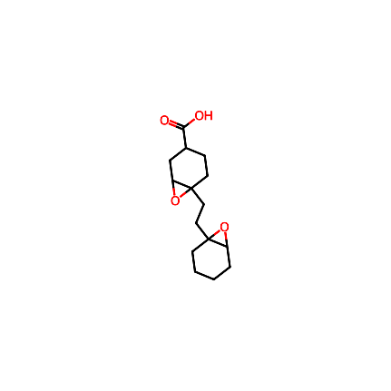 O=C(O)C1CCC2(CCC34CCCCC3O4)OC2C1